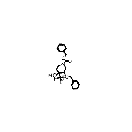 O=C(OCc1ccccc1)N1CCC(O)(C(F)(F)F)C(OCc2ccccc2)C1